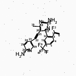 C=C(F)c1ccc(C(F)(F)F)cc1-c1nc(N)nc(C)c1C#Cc1ccc(N)nc1